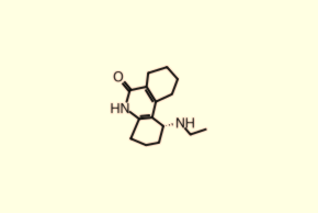 CCN[C@@H]1CCCc2[nH]c(=O)c3c(c21)CCCC3